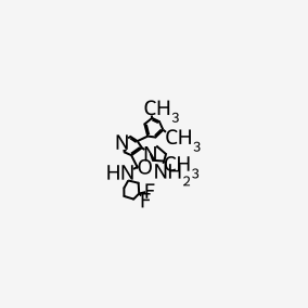 Cc1cc(C)cc(-c2cncc(C(=O)NC3CCCC(F)(F)C3)c2N2CC[C@](C)(N)C2)c1